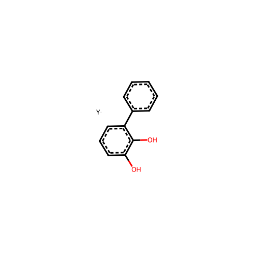 Oc1cccc(-c2ccccc2)c1O.[Y]